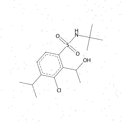 CC(C)c1ccc(S(=O)(=O)NC(C)(C)C)c(C(C)O)c1Cl